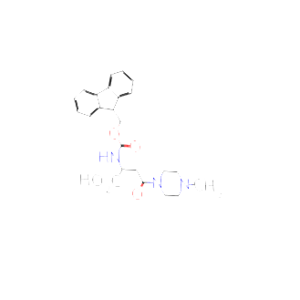 CN1CCN(C(=O)CC(NC(=O)OCC2c3ccccc3-c3ccccc32)C(=O)O)CC1